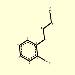 Fc1ccccc1CCCCl